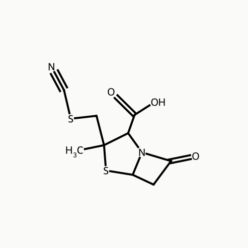 CC1(CSC#N)SC2CC(=O)N2C1C(=O)O